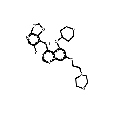 Clc1cnc2c(c1Nc1ncnc3cc(OCCN4CCOCC4)cc(OC4CCOCC4)c13)OCO2